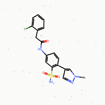 CC(C)n1cc(-c2ccc(NC(=O)Cc3ccccc3Cl)cc2S(N)(=O)=O)cn1